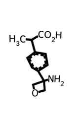 CC(C(=O)O)c1ccc(C2(N)COC2)cc1